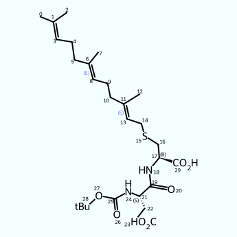 CC(C)=CCC/C(C)=C/CC/C(C)=C/CSC[C@H](NC(=O)[C@H](CC(=O)O)NC(=O)OC(C)(C)C)C(=O)O